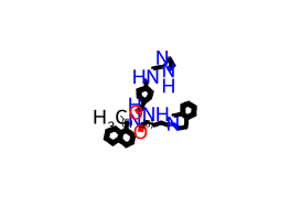 C[C@H](NC(=O)[C@H](CCCN1CCc2ccccc2C1)NC(=O)c1ccc(CNCc2ncc[nH]2)cc1)c1cccc2ccccc12